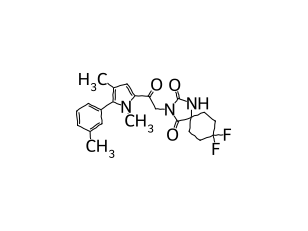 Cc1cccc(-c2c(C)cc(C(=O)CN3C(=O)NC4(CCC(F)(F)CC4)C3=O)n2C)c1